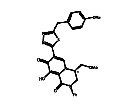 COC[C@H]1CN(C(C)C)C(=O)c2c(O)c(=O)c(-c3nnc(Cc4ccc(OC)cc4)s3)cn21